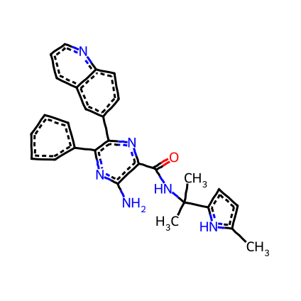 Cc1ccc(C(C)(C)NC(=O)c2nc(-c3ccc4ncccc4c3)c(-c3ccccc3)nc2N)[nH]1